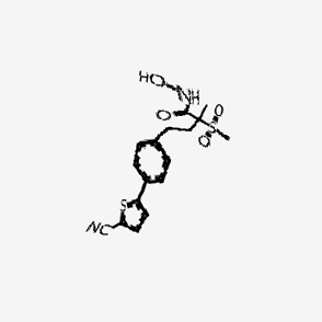 CC(CCc1ccc(-c2ccc(C#N)s2)cc1)(C(=O)NO)S(C)(=O)=O